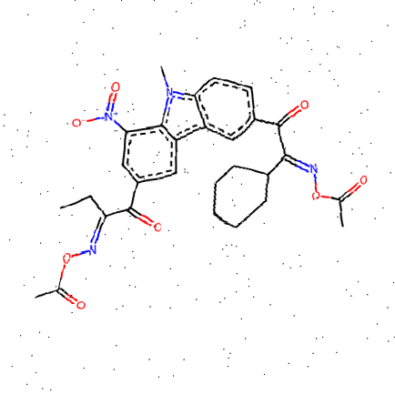 CC/C(=N\OC(C)=O)C(=O)c1cc([N+](=O)[O-])c2c(c1)c1cc(C(=O)/C(=N/OC(C)=O)C3CCCCC3)ccc1n2C